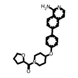 Nc1nccc2cc(-c3ccc(OC4CCN(C(=O)C5CCCO5)CC4)cc3)ccc12